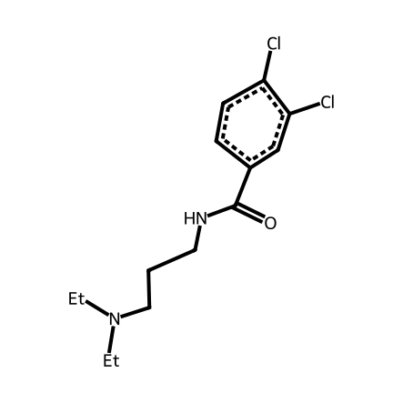 CCN(CC)CCCNC(=O)c1ccc(Cl)c(Cl)c1